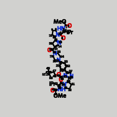 COC(=O)N[C@H](C(=O)N1CCC[C@H]1C1=NC=C(C(=O)N2CCN(c3ccc(-c4cnc([C@@H]5CCCN5C(=O)[C@@H](NC(=O)OC)C(C)C)n4COCC[Si](C)(C)C)cc3)CC2)C1)C(C)C